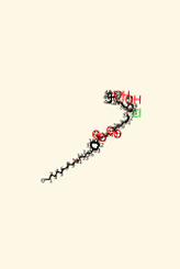 CCCCCCCCCCCCCCCCc1ccc(C(=O)OCCOC(=O)CCC/C=C\C[C@@H]2[C@@H](/C=C/C[C@H](O)C3(CC)CCC3)[C@H](O)C[C@H]2Cl)cc1